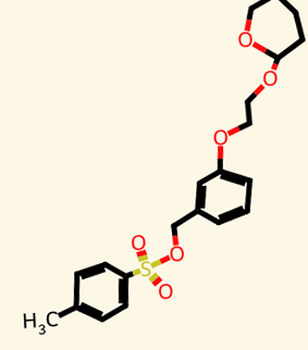 Cc1ccc(S(=O)(=O)OCc2cccc(OCCOC3CCCCO3)c2)cc1